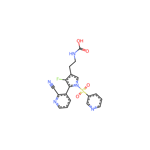 N#Cc1ncccc1-c1c(F)c(CCNC(=O)O)cn1S(=O)(=O)c1cccnc1